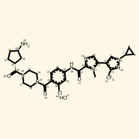 Cl.Cn1c(-c2cn(C3CC3)nc2C(F)(F)F)cnc1C(=O)Nc1ccc(C(=O)N2CCN(C(=O)[C@@H]3CC[C@@H](N)C3)CC2)c(Cl)c1